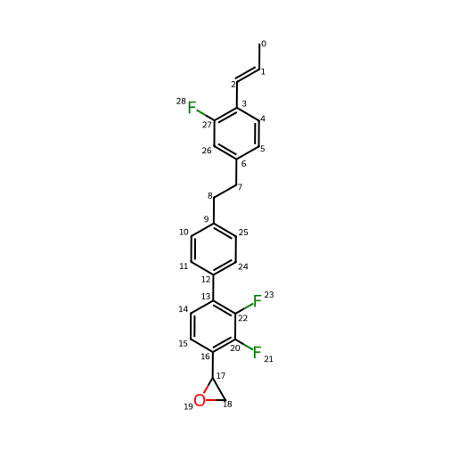 C/C=C/c1ccc(CCc2ccc(-c3ccc(C4CO4)c(F)c3F)cc2)cc1F